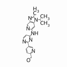 Cc1nc2cnc(Nc3ccnc(-c4ccc(C=O)nc4)n3)cc2n1C(C)C